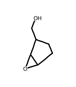 OCC1CCC2OC12